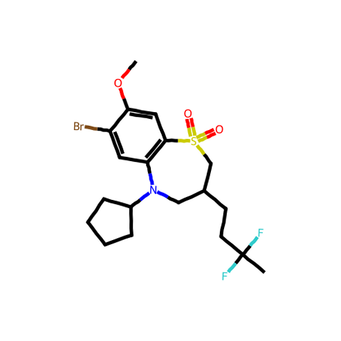 COc1cc2c(cc1Br)N(C1CCCC1)CC(CCC(C)(F)F)CS2(=O)=O